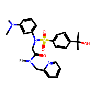 CCN(Cc1ccccn1)C(=O)CN(c1cccc(N(C)C)c1)S(=O)(=O)c1ccc(C(C)(C)O)cc1